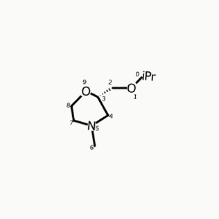 CC(C)OC[C@@H]1CN(C)CCO1